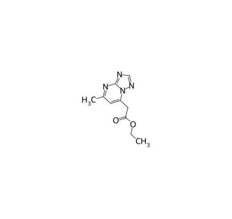 CCOC(=O)Cc1cc(C)nc2ncnn12